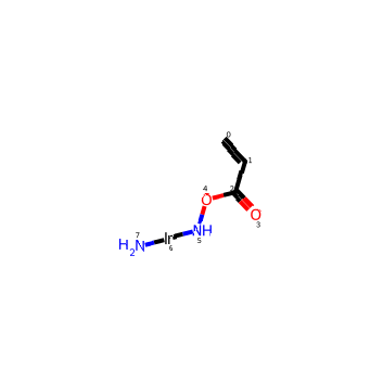 C=CC(=O)O[NH][Ir][NH2]